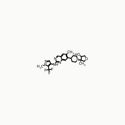 Cc1cc2cnc(Nc3cnn(C)c3C(F)(F)F)nc2cc1C1CCN([C@]2(C)COCC2O)CC1